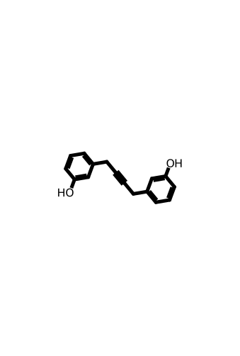 Oc1cccc(CC#CCc2cccc(O)c2)c1